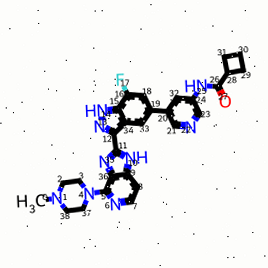 CN1CCN(c2nccc3[nH]c(-c4n[nH]c5c(F)cc(-c6cncc(NC(=O)C7CCC7)c6)cc45)nc23)CC1